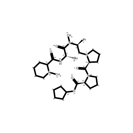 CC(C)[C@@H](CN1CCC[C@H]1C(=O)N1CCC[C@H]1C(=O)OC1CCCC1)N(C)C(=O)[C@@H](NC(=O)C1CCCCN1C)C(C)(C)C